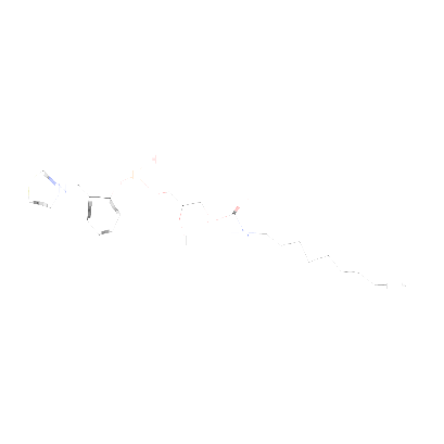 CCCCCCCCCCCCCCCCCCNC(=O)OCC(COP(O)Oc1ccccc1C[n+]1ccsc1)OCC